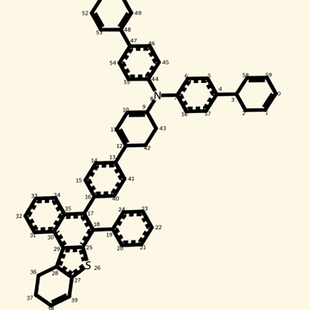 C1=CCC(c2ccc(N(C3=CC=C(c4ccc(-c5c(-c6ccccc6)c6sc7c(c6c6ccccc56)CCC=C7)cc4)CC3)c3ccc(C4=CCCC=C4)cc3)cc2)C=C1